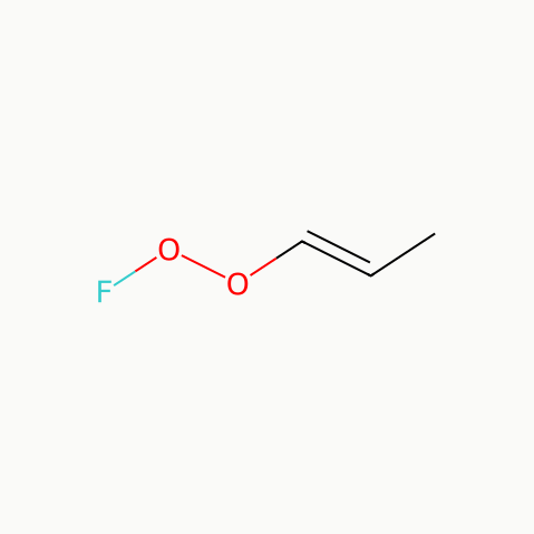 CC=COOF